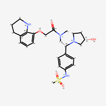 CN(C[C@@H](c1ccc(NS(C)(=O)=O)cc1)N1CC[C@H](O)C1)C(=O)COc1cccc2c1NCCC2